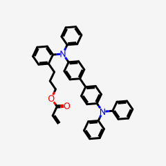 C=CC(=O)OCCCc1ccccc1N(c1ccccc1)c1ccc(-c2ccc(N(c3ccccc3)c3ccccc3)cc2)cc1